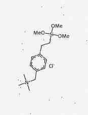 CO[Si](CCc1ccc(C[N+](C)(C)C)cc1)(OC)OC.[Cl-]